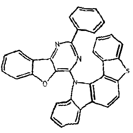 c1ccc(-c2nc(-n3c4ccccc4c4ccc5sc6ccccc6c5c43)c3oc4ccccc4c3n2)cc1